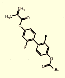 C=C(C)C(=O)Oc1ccc(-c2ccc(OC(=O)C(C)(C)C)cc2F)c(F)c1